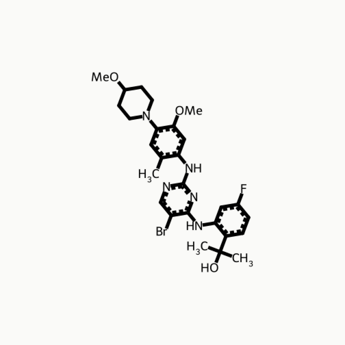 COc1cc(Nc2ncc(Br)c(Nc3cc(F)ccc3C(C)(C)O)n2)c(C)cc1N1CCC(OC)CC1